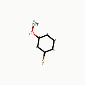 CCCOC1CCCC([S])C1